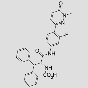 Cn1nc(-c2ccc(NC(=O)C(NC(=O)O)C(c3ccccc3)c3ccccc3)cc2F)ccc1=O